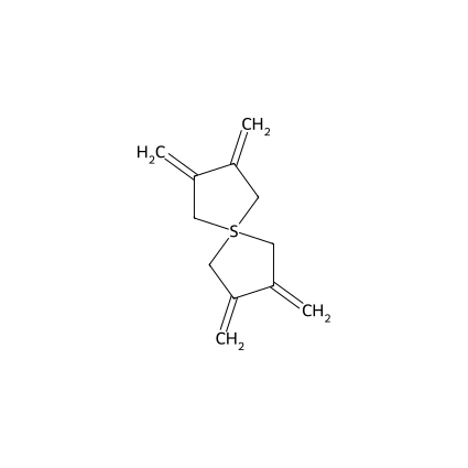 C=C1CS2(CC1=C)CC(=C)C(=C)C2